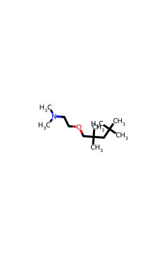 CN(C)CCOCC(C)(C)CC(C)(C)C